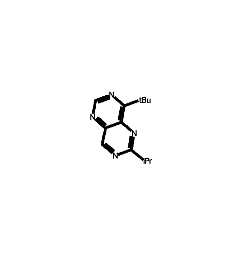 CC(C)c1ncc2ncnc(C(C)(C)C)c2n1